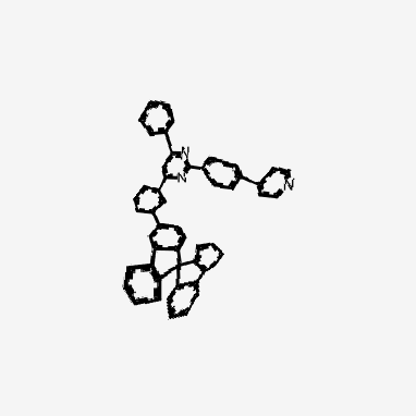 c1ccc(-c2cc(-c3cccc(-c4ccc5c(c4)-c4ccccc4C54c5ccccc5-c5ccccc54)c3)nc(-c3ccc(-c4ccncc4)cc3)n2)cc1